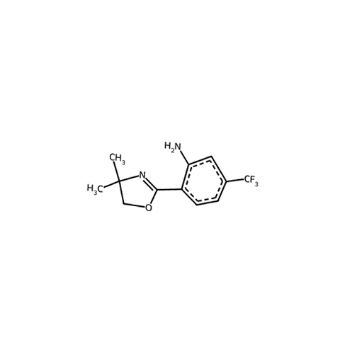 CC1(C)COC(c2ccc(C(F)(F)F)cc2N)=N1